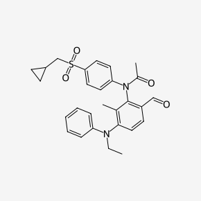 CCN(c1ccccc1)c1ccc(C=O)c(N(C(C)=O)c2ccc(S(=O)(=O)CC3CC3)cc2)c1C